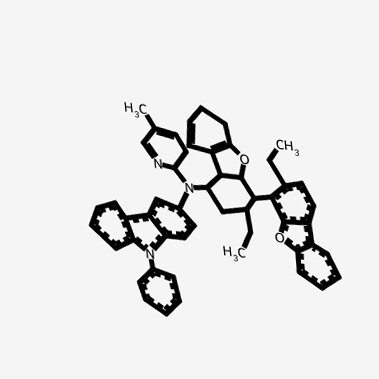 CCc1ccc2c(oc3ccccc32)c1C1C(CC)CC(N(c2ccc3c(c2)c2ccccc2n3-c2ccccc2)C2CC=C(C)C=N2)C2C3=C(CCC=C3)OC21